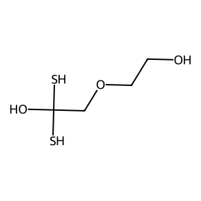 OCCOCC(O)(S)S